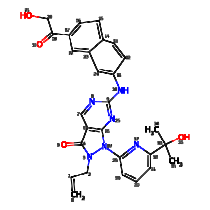 C=CCn1c(=O)c2cnc(Nc3ccc4ccc(C(=O)CO)cc4c3)nc2n1-c1cccc(C(C)(C)O)n1